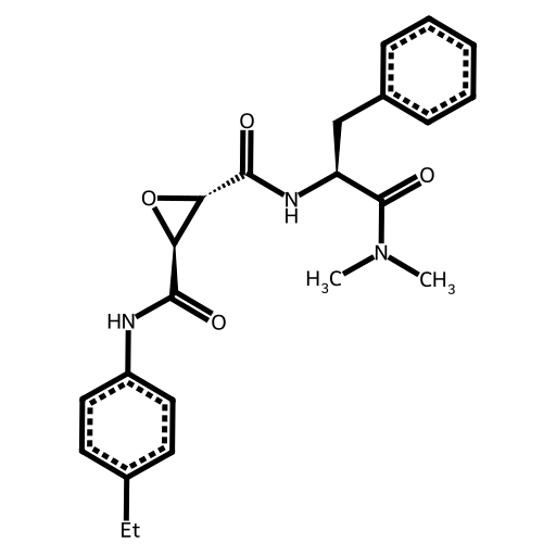 CCc1ccc(NC(=O)[C@H]2O[C@@H]2C(=O)N[C@@H](Cc2ccccc2)C(=O)N(C)C)cc1